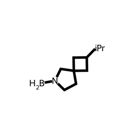 BN1CCC2(CC(C(C)C)C2)C1